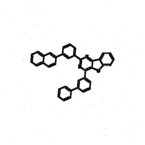 c1ccc(-c2cccc(-c3nc(-c4cccc(-c5ccc6ccccc6c5)c4)nc4c3oc3ccccc34)c2)cc1